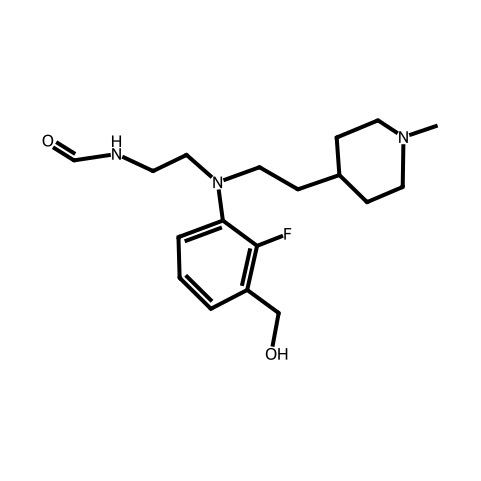 CN1CCC(CCN(CCNC=O)c2cccc(CO)c2F)CC1